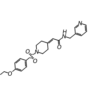 O=C(C=C1CCN(S(=O)(=O)c2ccc(OCF)cc2)CC1)NCc1cccnc1